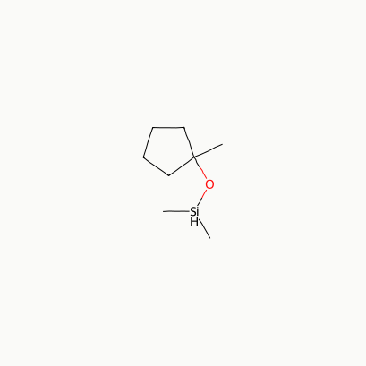 C[SiH](C)OC1(C)CCCC1